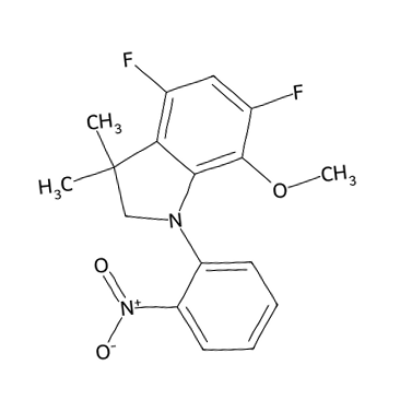 COc1c(F)cc(F)c2c1N(c1ccccc1[N+](=O)[O-])CC2(C)C